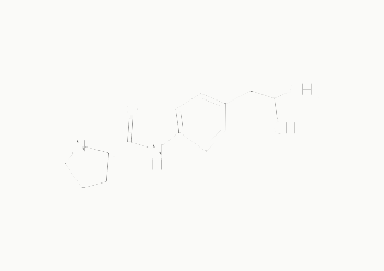 CC(C)Cc1ccc(NC(=O)[C@@H]2CCCN2)cc1